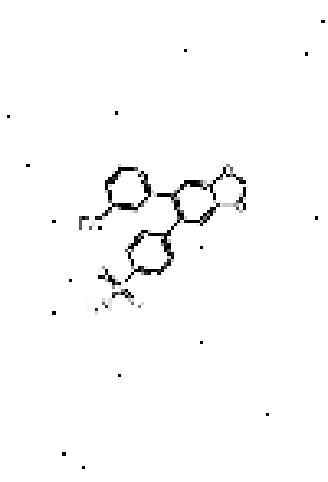 NS(=O)(=O)c1ccc(-c2cc3c(cc2-c2cccc(C(F)(F)F)c2)OCO3)cc1